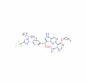 COc1ncnc(C2CC2)c1-c1ncc2[nH]cc(C(O)c3ccc(-c4nc(C(F)(F)F)cn4C(C)C)cc3)c2n1